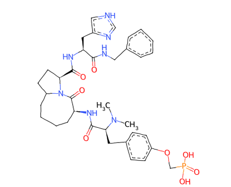 CN(C)[C@@H](Cc1ccc(OCP(=O)(O)O)cc1)C(=O)N[C@H]1CCCCC2CC[C@@H](C(=O)N[C@@H](Cc3c[nH]cn3)C(=O)NCc3ccccc3)N2C1=O